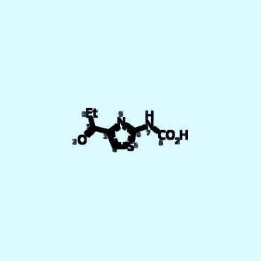 CCC(=O)c1csc(NC(=O)O)n1